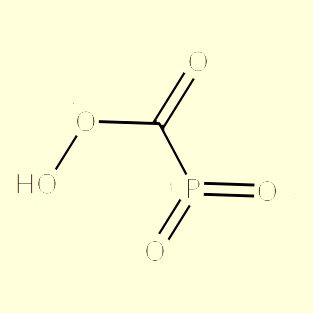 O=C(OO)P(=O)=O